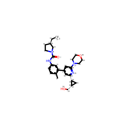 Cc1ccc(NC(=O)N2CC[C@@H](CC(F)(F)F)C2)cc1-c1cc([C@@H]2C[C@@H]2CO)nc(N2CCOCC2)c1